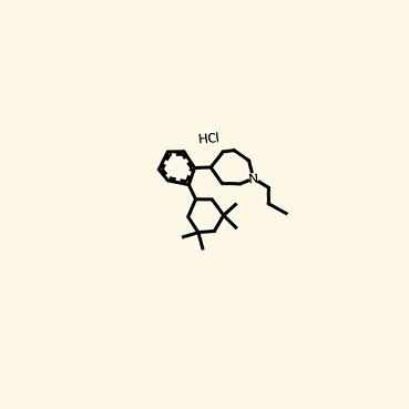 CCCN1CCCC(c2ccccc2C2CC(C)(C)CC(C)(C)C2)CC1.Cl